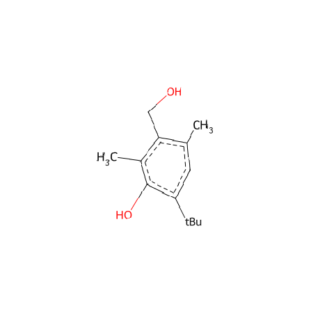 Cc1cc(C(C)(C)C)c(O)c(C)c1CO